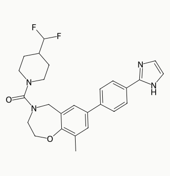 Cc1cc(-c2ccc(-c3ncc[nH]3)cc2)cc2c1OCCN(C(=O)N1CCC(C(F)F)CC1)C2